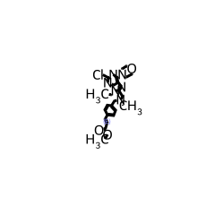 CCn1c(CN(C)Cc2ccc(/C=C/C(=O)OC)cc2)nc2c(N3CCOCC3)nc(Cl)nc21